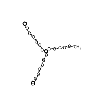 CCCOCCOCCOCCOCCOc1cc(OCCOCCOCCOCCOCCOCc2ccccc2)cc(OCCOCCOCCOCCOCCOCc2ccccc2)c1